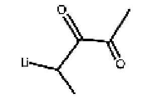 [Li][CH](C)C(=O)C(C)=O